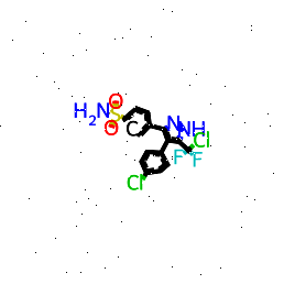 NS(=O)(=O)c1ccc(-c2n[nH]c(C(F)(F)Cl)c2-c2ccc(Cl)cc2)cc1